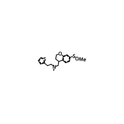 COSc1ccc2c(c1)OCCC2CN(C)CCc1cccs1